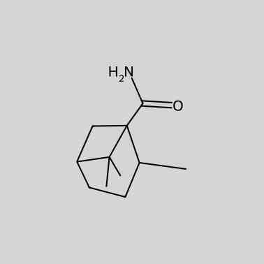 CC1CCC2CC1(C(N)=O)C2(C)C